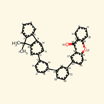 CC1(C)c2ccccc2-c2ccc(-c3cccc(-c4cccc(-c5ccc6oc7ccccc7c(=O)c6c5)c4)c3)cc21